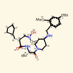 COc1ccc(CNC2CCN(C(=O)[C@@H](NC(=O)[C@H](CC3CCCC3)CN(O)C=O)C(C)(C)C)CC2)c(OC)c1